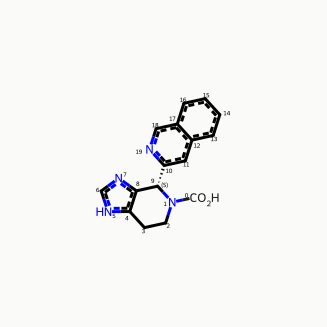 O=C(O)N1CCc2[nH]cnc2[C@@H]1c1cc2ccccc2cn1